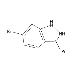 CC(C)N1NNc2cc(Br)ccc21